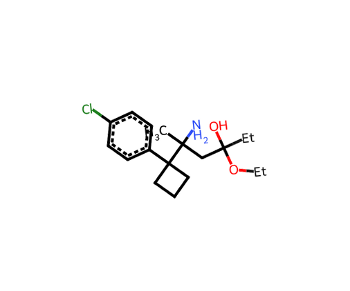 CCOC(O)(CC)CC(C)(N)C1(c2ccc(Cl)cc2)CCC1